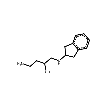 NCCC(O)CNC1Cc2ccccc2C1